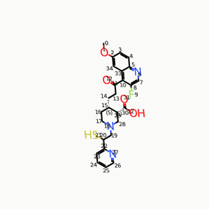 COc1ccc2ncc(F)c(C(=O)CC[C@H]3CCN(CC(S)c4ccccn4)C[C@H]3C(=O)O)c2c1